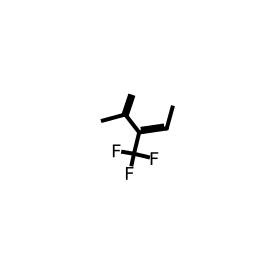 C=C(C)/C(=C\C)C(F)(F)F